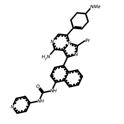 CNC1CC=C(c2cnc(N)c3c(-c4ccc(NC(=O)Nc5ccncc5)c5ccccc45)nc(C(C)C)n23)CC1